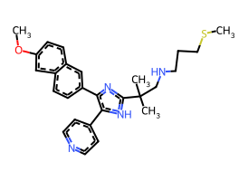 COc1ccc2cc(-c3nc(C(C)(C)CNCCCSC)[nH]c3-c3ccncc3)ccc2c1